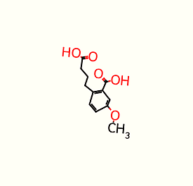 COc1ccc(CCCC(=O)O)c(C(=O)O)c1